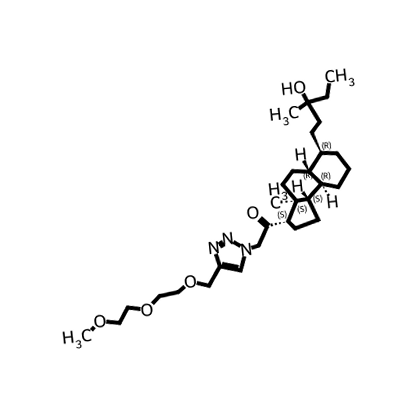 CCC(C)(O)CC[C@H]1CCC[C@@H]2[C@@H]1CC[C@]1(C)[C@@H](C(=O)Cn3cc(COCCOCCOC)nn3)CC[C@@H]21